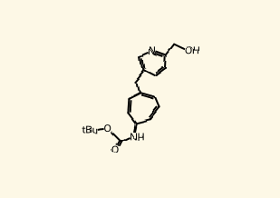 CC(C)(C)OC(=O)NC1C=CC=C(Cc2ccc(CO)nc2)C=C1